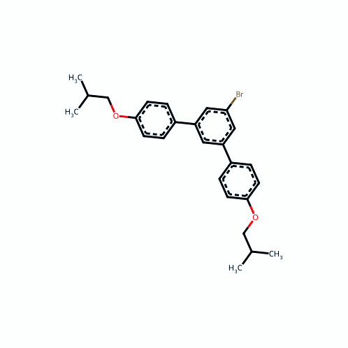 CC(C)COc1ccc(-c2cc(Br)cc(-c3ccc(OCC(C)C)cc3)c2)cc1